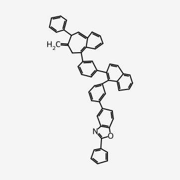 C=C1CC(c2cccc(-c3ccc4ccccc4c3-c3cccc(-c4ccc5oc(-c6ccccc6)nc5c4)c3)c2)=c2ccccc2=CC1c1ccccc1